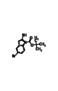 CC(C)(C)OC(=O)n1c(S)cc2cc(Br)ccc21